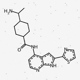 CC(N)C1CCC(C(=O)Nc2ccnc3[nH]c(-c4nccs4)cc23)CC1